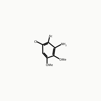 COc1cc(Cl)c(C(C)=O)c(N)c1OC